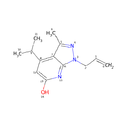 C=CCn1nc(C)c2c(C(C)C)cc(O)nc21